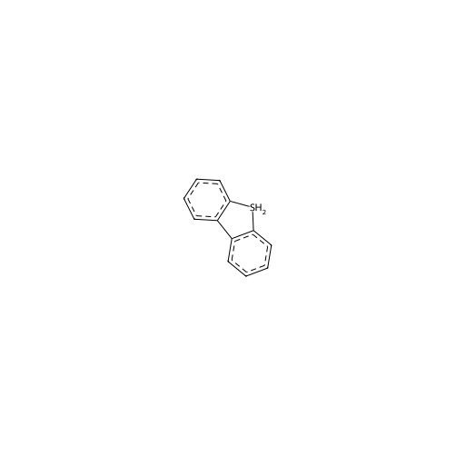 c1ccc2c(c1)[SH2]c1ccccc1-2